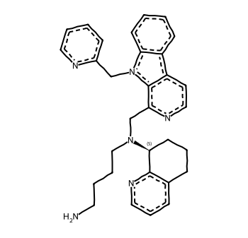 NCCCCN(Cc1nccc2c3ccccc3n(Cc3ccccn3)c12)[C@H]1CCCc2cccnc21